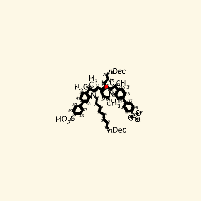 CCCCCCCCCCCCCCCCCCN1C(=CC=CC2=[N+](C(C)CCCCCCCCCCCCCCCC)c3cc(-c4ccc(S(=O)(=O)[O-])cc4)ccc3C2(C)C)C(C)(C)c2ccc(-c3ccc(S(=O)(=O)O)cc3)cc21